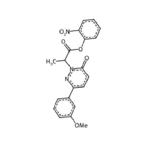 COc1cccc(-c2ccc(=O)n(C(C)C(=O)Oc3ccccc3[N+](=O)[O-])n2)c1